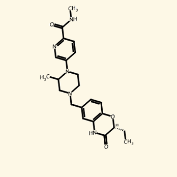 CC[C@H]1Oc2ccc(CN3CCN(c4ccc(C(=O)NC)nc4)C(C)C3)cc2NC1=O